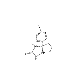 Cc1ccc(C23CCCN2NC(=S)N3C)cc1